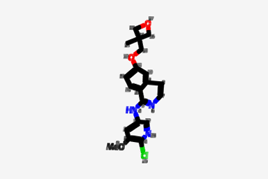 COc1cc(Nc2nccc3cc(OCC4(C)COC4)ccc23)cnc1Cl